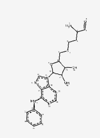 NC(C=O)CCSCC1OC(n2cnc3c(Nc4ccccc4)ncnc32)C(O)C1O